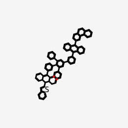 C1=CCC2C(=C1)C(c1cccc(-c3c(-c4ccccc4)cc(-c4cccc(-c5c6ccccc6c(-c6ccc7ccc8ccccc8c7c6)c6ccccc56)c4)cc3-c3ccccc3)c1)=C1C=CC=CC1C2c1cc2ccccc2s1